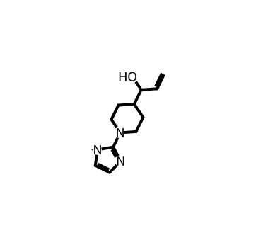 C=CC(O)C1CCN(C2=NC=C[N]2)CC1